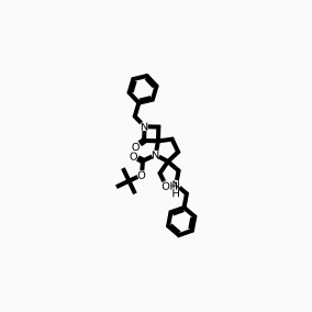 CC(C)(C)OC(=O)N1C(CO)(CNCc2ccccc2)CCC12CN(Cc1ccccc1)C2=O